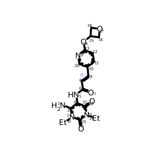 CCn1c(N)c(NC(=O)/C=C/c2ccc(OC3COC3)nc2)c(=O)n(CC)c1=O